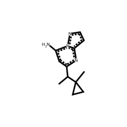 CC(c1cc(N)n2nccc2n1)C1(C)CC1